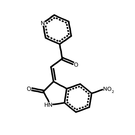 O=C1Nc2ccc([N+](=O)[O-])cc2C1=CC(=O)c1cccnc1